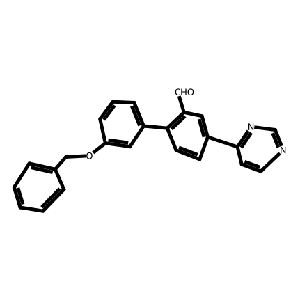 O=Cc1cc(-c2ccncn2)ccc1-c1cccc(OCc2ccccc2)c1